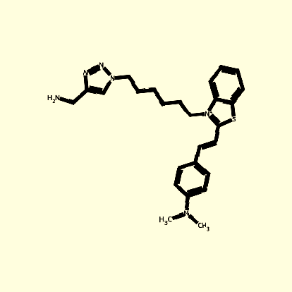 CN(C)c1ccc(/C=C/c2sc3ccccc3[n+]2CCCCCCn2cc(CN)nn2)cc1